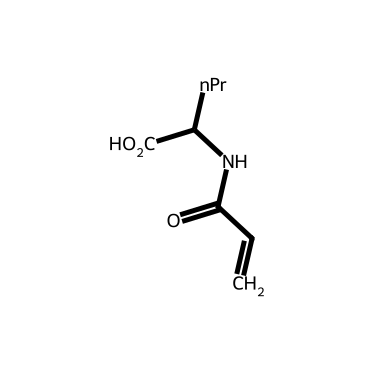 C=CC(=O)NC(CCC)C(=O)O